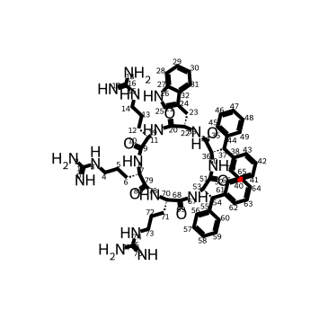 N=C(N)NCCC[C@@H]1NC(=O)[C@H](CCCNC(=N)N)NC(=O)[C@H](Cc2c[nH]c3ccccc23)NC(=O)[C@H](C(c2ccccc2)c2ccccc2)NC(=O)[C@H](C(c2ccccc2)c2ccccc2)NC(=O)[C@H](CCCNC(=N)N)NC1=O